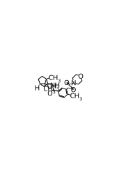 Cc1ccc(C(=O)NC2C[C@H]3CC[C@@]2(C)C3(C)C)cc1S(=O)(=O)N1CCOCC1